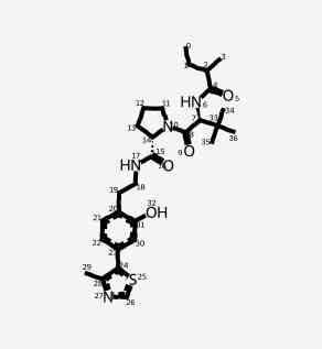 CCC(C)C(=O)N[C@H](C(=O)N1CCC[C@H]1C(=O)NCCc1ccc(-c2scnc2C)cc1O)C(C)(C)C